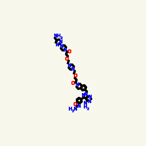 NCc1cnc(N2CCN(C(=O)CCOCCN3CCN(CCOCCC(=O)N4CCc5cc(Cn6nc(-c7ccc8oc(N)nc8c7)c7c(N)ncnc76)ccc5C4)CC3)CC2)nc1